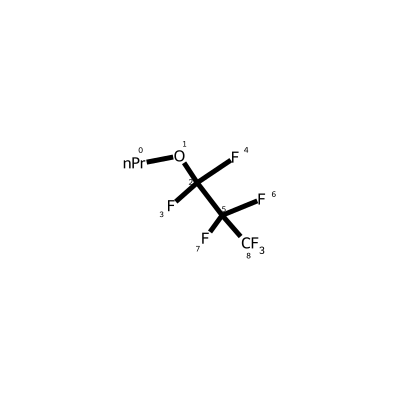 [CH2]CCOC(F)(F)C(F)(F)C(F)(F)F